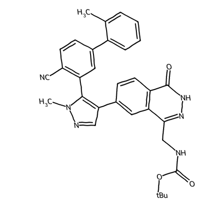 Cc1ccccc1-c1ccc(C#N)c(-c2c(-c3ccc4c(=O)[nH]nc(CNC(=O)OC(C)(C)C)c4c3)cnn2C)c1